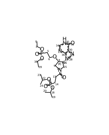 CCOP(=O)(CCO[C@@H]1CN(C(=O)CCP(=O)(OC(C)C)OC(C)C)C[C@H]1n1cnc2c(=O)[nH]cnc21)OCC